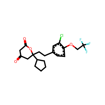 O=C1CC(=O)OC(CCc2ccc(OCC(F)(F)F)c(Cl)c2)(C2CCCC2)C1